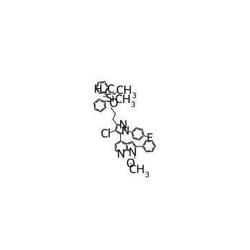 COCn1c(-c2ccccc2)cc2c(-c3c(Cl)c(CCCO[Si](c4ccccc4)(c4ccccc4)C(C)(C)C)nn3-c3ccc(F)cc3)ccnc21